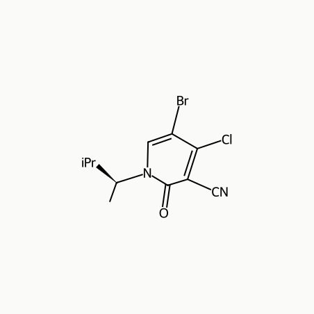 CC(C)[C@H](C)n1cc(Br)c(Cl)c(C#N)c1=O